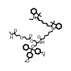 CCN1/C(=C/C=C/C=C/C2=[N+](CCCCCC(=O)NC(COC(=O)CCOCCC(=O)NC)COC(c3ccccc3)(c3ccc(OC)cc3)c3ccc(OC)cc3)c3ccccc3C2(C)C)C(C)(C)c2ccccc21